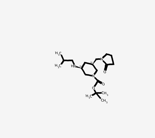 CC(C)CN[C@H]1C[C@@H](CN2CCCC2=O)CN(C(=O)OC(C)(C)C)C1